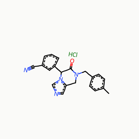 Cc1ccc(CN2Cc3cncn3C(c3cccc(C#N)c3)C2=O)cc1.Cl